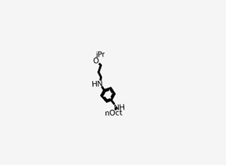 CCCCCCCCNc1ccc(NCCCOC(C)C)cc1